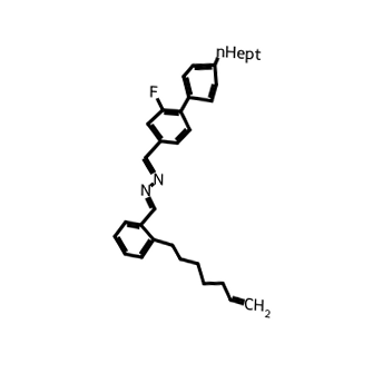 C=CCCCCCc1ccccc1C=NN=Cc1ccc(-c2ccc(CCCCCCC)cc2)c(F)c1